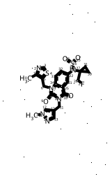 Cc1ncsc1Cn1c(=O)n(Cc2cnn(C)c2)c(=O)c2cc(N([SH](=O)=O)C3(CF)CC3)ccc21